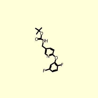 CC(C)(C)OC(=O)NCc1ccc(Oc2cc(F)ccc2F)nc1